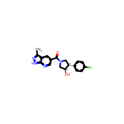 Cc1n[nH]c2ncc(C(=O)N3C[C@H](c4ccc(Cl)cc4)[C@@H](O)C3)cc12